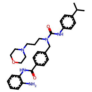 CC(C)c1ccc(NC(=O)N(CCCN2CCOCC2)Cc2ccc(C(=O)Nc3ccccc3N)cc2)cc1